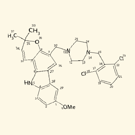 COc1ccc2[nH]c3c4c(c(CN5CCN(Cc6c(Cl)cccc6Cl)CC5)cc3c2c1)OC(C)(C)C=C4